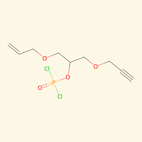 C#CCOCC(COCC=C)OP(=O)(Cl)Cl